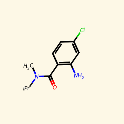 CC(C)N(C)C(=O)c1ccc(Cl)cc1N